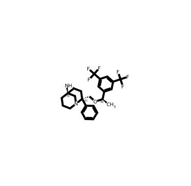 C[C@@H](OC[C@@]1(c2ccccc2)CC[C@@]2(N)CCCN1C2)c1cc(C(F)(F)F)cc(C(F)(F)F)c1